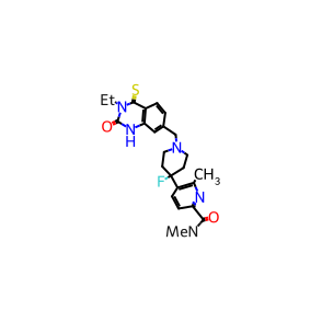 CCn1c(=O)[nH]c2cc(CN3CCC(F)(c4ccc(C(=O)NC)nc4C)CC3)ccc2c1=S